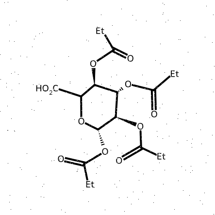 CCC(=O)O[C@@H]1OC(C(=O)O)[C@@H](OC(=O)CC)[C@H](OC(=O)CC)[C@H]1OC(=O)CC